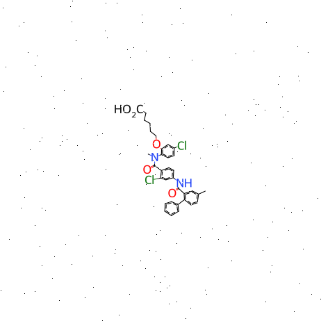 Cc1ccc(-c2ccccc2)c(C(=O)Nc2ccc(C(=O)N(C)c3ccc(Cl)cc3OCCCCCC(=O)O)c(Cl)c2)c1